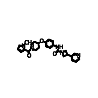 Cn1cccc1C(=O)N1CCC(Oc2ccc(NC(=O)N3CC(c4cccnc4)C3)cc2)CC1